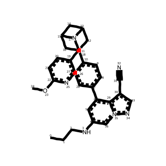 CCCNc1cc(-c2ccc(N3CC4CC(C3)N4Cc3ccc(OC)nc3)nc2)c2c(C#N)cnn2c1